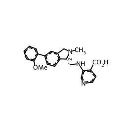 COc1ccccc1-c1ccc2c(c1)CN(C)[C@@H]2CNc1cnccc1C(=O)O